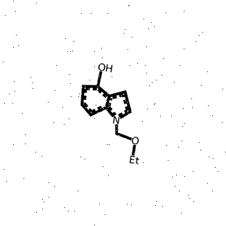 CCOCn1ccc2c(O)cccc21